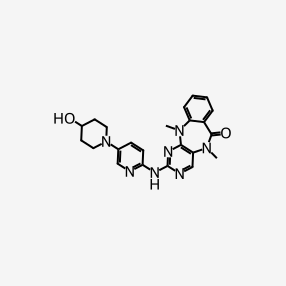 CN1C(=O)c2ccccc2N(C)c2nc(Nc3ccc(N4CCC(O)CC4)cn3)ncc21